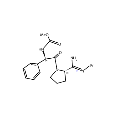 COC(=O)N[C@@H](C(=O)N1CCC[C@H]1/C(N)=N/C(C)C)c1ccccc1